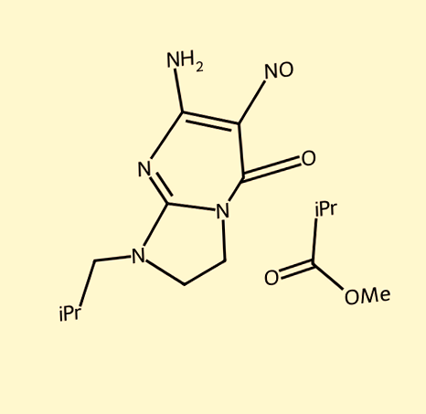 CC(C)CN1CCn2c1nc(N)c(N=O)c2=O.COC(=O)C(C)C